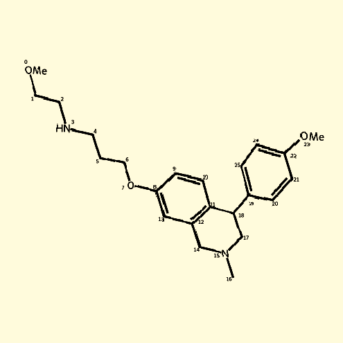 COCCNCCCOc1ccc2c(c1)CN(C)CC2c1ccc(OC)cc1